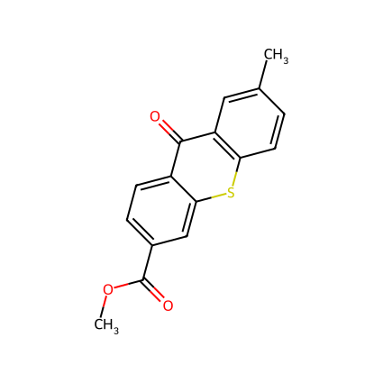 COC(=O)c1ccc2c(=O)c3cc(C)ccc3sc2c1